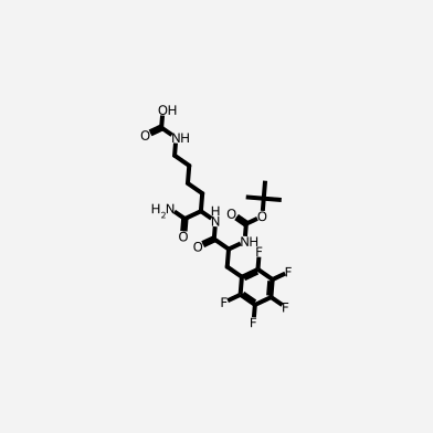 CC(C)(C)OC(=O)NC(Cc1c(F)c(F)c(F)c(F)c1F)C(=O)NC(CCCCNC(=O)O)C(N)=O